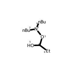 CCCCN(CCCC)OC(O)CC